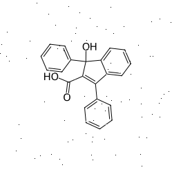 O=C(O)C1=C(c2ccccc2)c2ccccc2C1(O)c1ccccc1